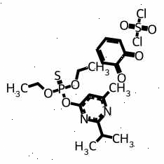 CCOP(=S)(OCC)Oc1cc(C)nc(C(C)C)n1.O=C1C=CC=CC1=O.O=S(=O)(Cl)Cl